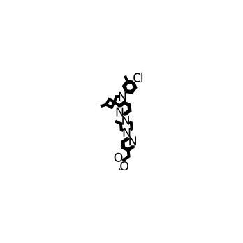 COC(=O)Cc1ccc(N2CCN(c3ccc4c(n3)C3(CC(C)C3)CN4c3ccc(Cl)c(C)c3)C(C)C2)nc1